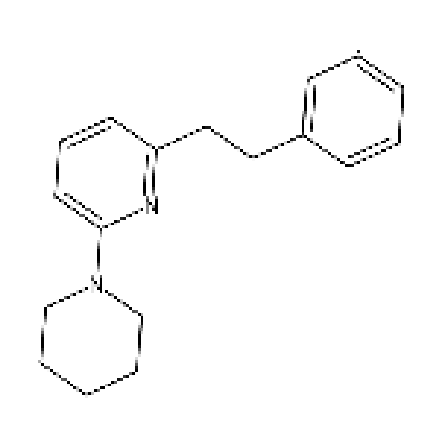 [c]1cccc(CCc2cccc(N3CCCCC3)n2)c1